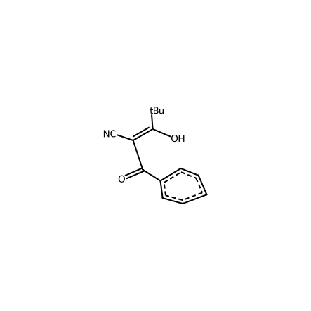 CC(C)(C)C(O)=C(C#N)C(=O)c1ccccc1